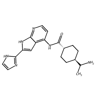 CC(N)[C@H]1CC[C@H](C(=O)Nc2ccnc3[nH]c(-c4ncc[nH]4)cc23)CC1